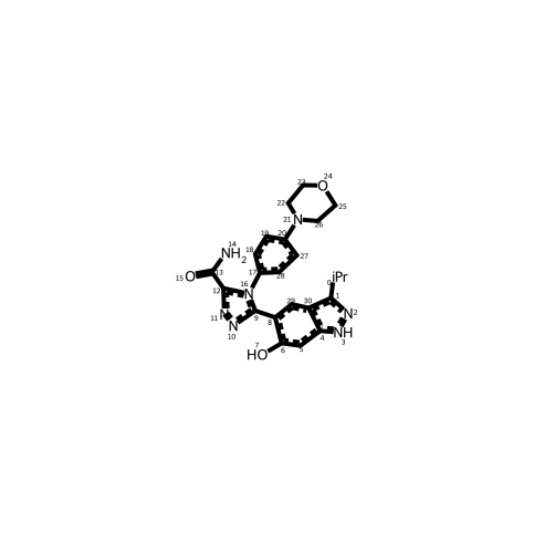 CC(C)c1n[nH]c2cc(O)c(-c3nnc(C(N)=O)n3-c3ccc(N4CCOCC4)cc3)cc12